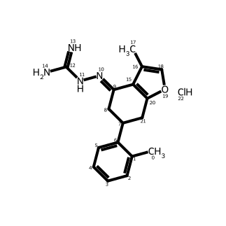 Cc1ccccc1C1C/C(=N\NC(=N)N)c2c(C)coc2C1.Cl